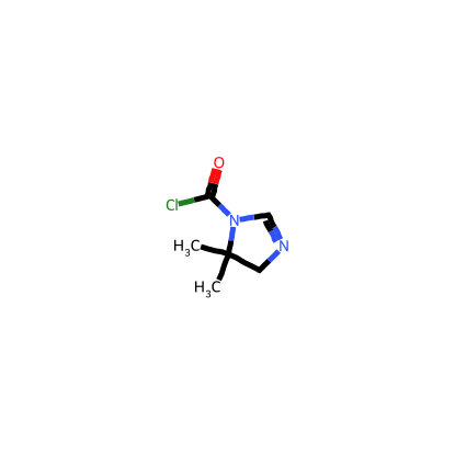 CC1(C)CN=CN1C(=O)Cl